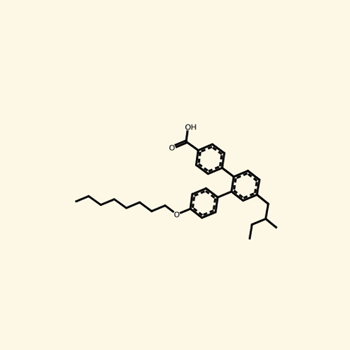 CCCCCCCCOc1ccc(-c2cc(CC(C)CC)ccc2-c2ccc(C(=O)O)cc2)cc1